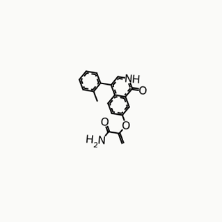 C=C(Oc1ccc2c(-c3ccccc3C)c[nH]c(=O)c2c1)C(N)=O